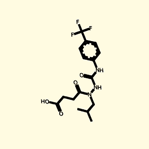 CC(C)CN(NC(=O)Nc1ccc(C(F)(F)F)cc1)C(=O)CCC(=O)O